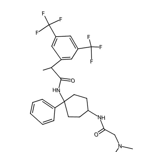 CC(C(=O)NC1(c2ccccc2)CCC(NC(=O)CN(C)C)CC1)c1cc(C(F)(F)F)cc(C(F)(F)F)c1